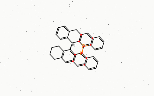 c1ccc(P(c2ccccc2)c2ccc3c(c2[C@H]2c4ccccc4CCC2P(c2ccccc2)c2ccccc2)CCCC3)cc1